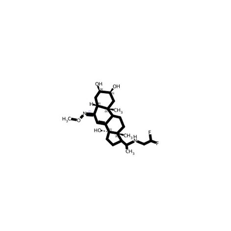 CO/N=C1\C=C2C(CC[C@]3(C)C(C(C)NCC(F)F)CC[C@@]23O)[C@@]2(C)C[C@H](O)[C@H](O)C[C@@H]12